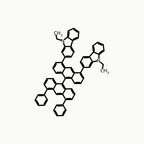 CCn1c2ccccc2c2ccc(-c3cccc4c(-c5c6cccc(-c7ccccc7)c6cc6c(-c7ccccc7)cccc56)c5cccc(-c6ccc7c8ccccc8n(CC)c7c6)c5cc34)cc21